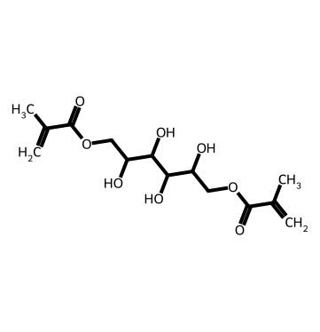 C=C(C)C(=O)OCC(O)C(O)C(O)C(O)COC(=O)C(=C)C